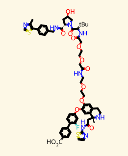 Cc1ncsc1-c1ccc(CNC(=O)[C@@H]2C[C@@H](O)CN2C(=O)C(NC(=O)COCCOCC(=O)NCCOCCOc2cc3c(cc2Oc2ccc(-c4ccc(C(=O)O)cc4)c(F)c2)[C@@](C)(CC(=O)Nc2nccs2)NCC3)C(C)(C)C)cc1